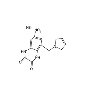 Br.O=c1[nH]c2cc([N+](=O)[O-])cc(CN3CC=CC3)c2[nH]c1=O